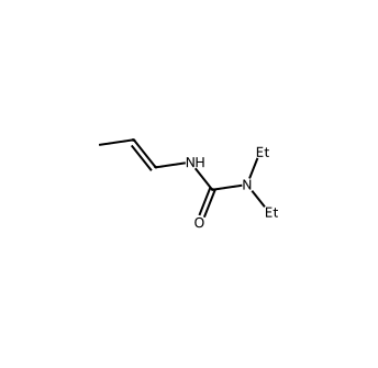 CC=CNC(=O)N(CC)CC